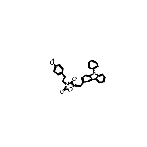 COc1ccc(CCN2C(=O)O/C(=C/c3ccc4c(c3)c3ccccc3n4-c3ccccc3)C2=O)cc1